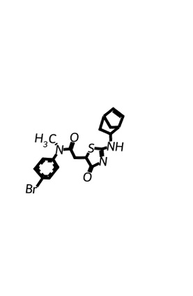 CN(C(=O)CC1SC(NC2CC3C=CC2C3)=NC1=O)c1ccc(Br)cc1